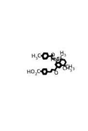 Cc1ccc(C(=O)CNc2cc(C(=O)C=Cc3ccc(C(=O)O)cc3)cc3c2C(C)(C)CCC3(C)C)cc1